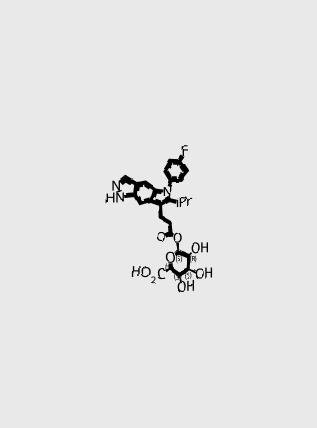 CC(C)c1c(CCC(=O)O[C@@H]2O[C@H](C(=O)O)[C@@H](O)[C@H](O)[C@H]2O)c2cc3[nH]ncc3cc2n1-c1ccc(F)cc1